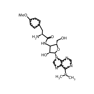 COc1ccc(C[C@H](N)C(=O)NC2[C@@H](CO)O[C@@H](n3cnc4c(N(C)C)ncnc43)[C@H]2O)cc1